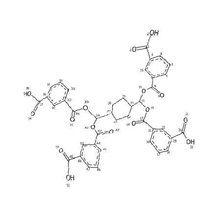 O=C(O)c1cccc(C(=O)OC(OC(=O)c2cccc(C(=O)O)c2)C2CCC(C(OC(=O)c3cccc(C(=O)O)c3)OC(=O)c3cccc(C(=O)O)c3)CC2)c1